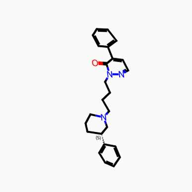 O=c1c(-c2ccccc2)ccnn1CCCCN1CCC[C@@H](c2ccccc2)C1